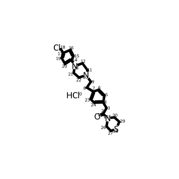 Cl.O=C(Cc1ccc(CCN2CCN(c3ccc(Cl)cc3)CC2)cc1)N1CCSCC1